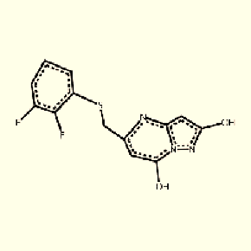 Oc1cc2nc(CSc3cccc(F)c3F)cc(O)n2n1